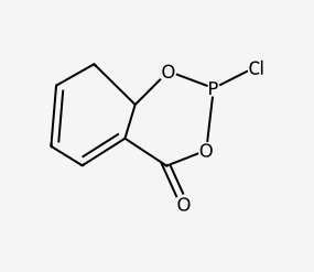 O=C1OP(Cl)OC2CC=CC=C12